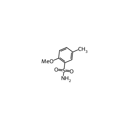 COc1ccc(C)cc1S(N)(=O)=O